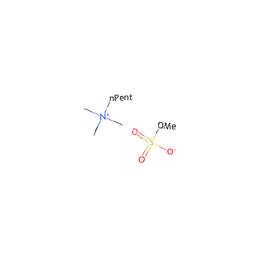 CCCCC[N+](C)(C)C.COS(=O)(=O)[O-]